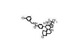 C[C@]12C[C@H](c3ccc(C(=O)NCc4cccc(Cl)c4)cc3)C3=C4CCC(=O)C=C4CC[C@H]3[C@@H]1CC[C@@]2(O)C(F)(F)C(F)(F)F